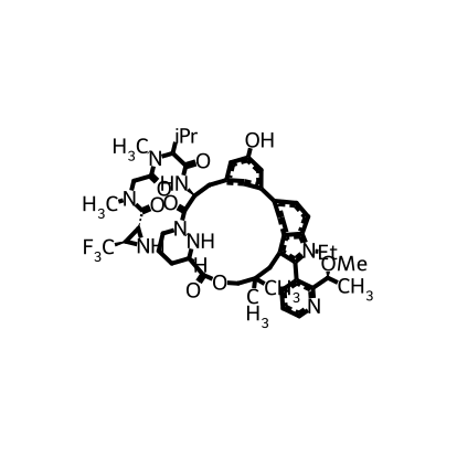 CCn1c(-c2cccnc2[C@H](C)OC)c2c3cc(ccc31)-c1cc(O)cc(c1)C[C@H](NC(=O)C(C(C)C)N(C)C(=O)CN(C)C(=O)[C@@H]1N[C@H]1C(F)(F)F)C(=O)N1CCC[C@H](N1)C(=O)OCC(C)(C)C2